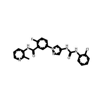 Cc1ncccc1NC(=O)c1cc(-n2cc(NC(=O)Nc3ccccc3Cl)cn2)ccc1F